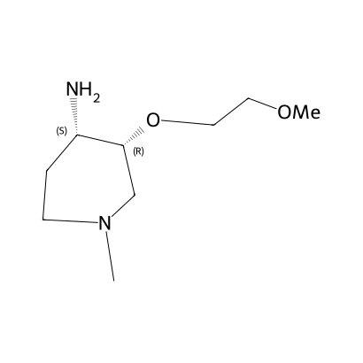 COCCO[C@@H]1CN(C)CC[C@@H]1N